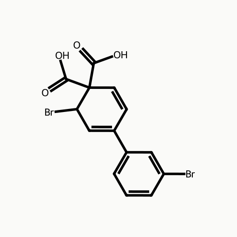 O=C(O)C1(C(=O)O)C=CC(c2cccc(Br)c2)=CC1Br